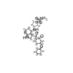 NS(=O)(=O)N1CCC(Nc2ccnc3[nH]cc(C(=O)c4ccc(Oc5ccccc5)cc4Cl)c23)C1